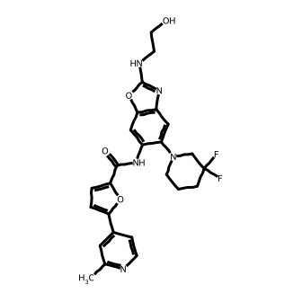 Cc1cc(-c2ccc(C(=O)Nc3cc4oc(NCCO)nc4cc3N3CCCC(F)(F)C3)o2)ccn1